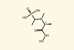 CC(N(C)[C@@H](C)C(=O)NO)P(=O)(O)O